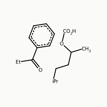 CC(C)CCC(C)OC(=O)O.CCC(=O)c1ccccc1